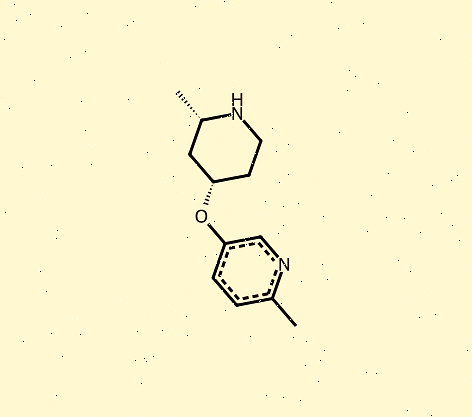 Cc1ccc(O[C@H]2CCN[C@@H](C)C2)cn1